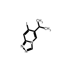 CC(C)c1cn2cnnc2cc1I